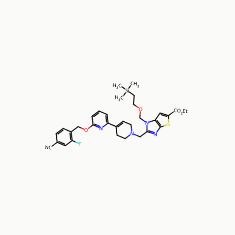 CCOC(=O)c1cc2c(nc(CN3CC=C(c4cccc(OCc5ccc(C#N)cc5F)n4)CC3)n2COCC[Si](C)(C)C)s1